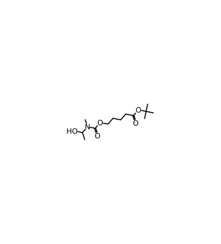 CC(O)N(C)C(=O)OCCCCC(=O)OC(C)(C)C